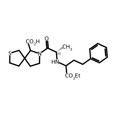 CCOC(=O)C(CCc1ccccc1)N[C@@H](C)C(=O)N1CCC2(CCSC2)C1C(=O)O